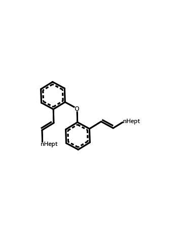 CCCCCCCC=Cc1ccccc1Oc1ccccc1C=CCCCCCCC